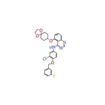 Fc1cccc(COc2ccc(Nc3ncnc4cccc(OC5CCC6(CC5)OCCO6)c34)cc2Cl)c1